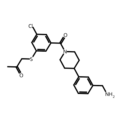 CC(=O)CSc1cc(Cl)cc(C(=O)N2CCC(c3cccc(CN)c3)CC2)c1